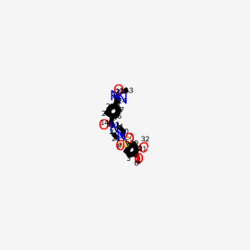 COc1ccc(S(=O)(=O)N2CCN(C(=O)c3ccc(-c4noc(C)n4)cc3)CC2)cc1OC